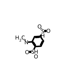 C=Nc1cc([SH](=O)=O)ccc1[SH](=O)=O